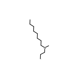 [CH2]CCN(C)CCCCCCCC